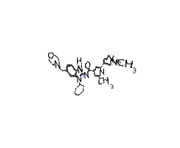 Cc1cc(C(=O)/N=c2\[nH]c3ccc(CN4CCOCC4)cc3n2C2CCCCC2)cc(-c2cnn(C)c2)n1